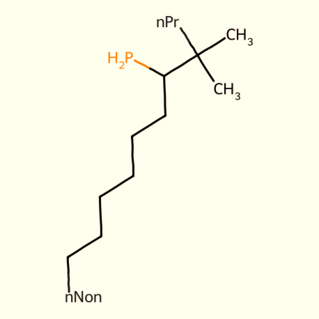 CCCCCCCCCCCCCCCC(P)C(C)(C)CCC